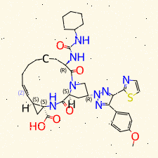 COc1ccc(-c2nn([C@@H]3C[C@H]4C(=O)N[C@@]5(C(=O)O)C[C@H]5/C=C\CCCCC[C@@H](NC(=O)NC5CCCCC5)C(=O)N4C3)nc2-c2nccs2)cc1